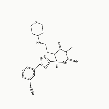 CN1C(=N)N[C@](C)(c2cc(-c3cccc(C#N)c3)cs2)C(CCNC2CCOCC2)C1=O